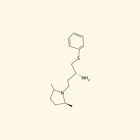 CC1CC[C@H](C)N1CC[C@@H](N)CSc1ccccc1